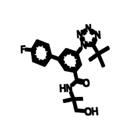 CC(C)(CO)NC(=O)c1cc(-c2ccc(F)cc2)cc(-n2nnnc2C(C)(C)C)c1